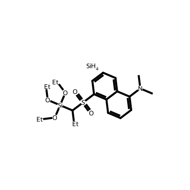 CCO[Si](OCC)(OCC)C(CC)S(=O)(=O)c1cccc2c(N(C)C)cccc12.[SiH4]